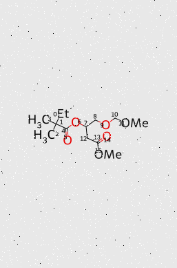 CCC(C)(C)C(=O)OC(COCOC)CC(=O)OC